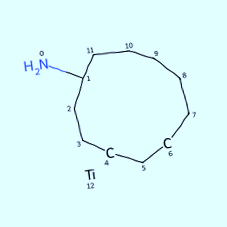 NC1CCCCCCCCCC1.[Ti]